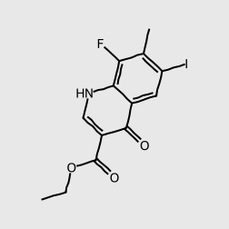 CCOC(=O)c1c[nH]c2c(F)c(C)c(I)cc2c1=O